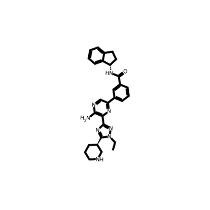 CCn1nc(-c2nc(-c3cccc(C(=O)N[C@H]4CCc5ccccc54)c3)cnc2N)nc1[C@@H]1CCCNC1